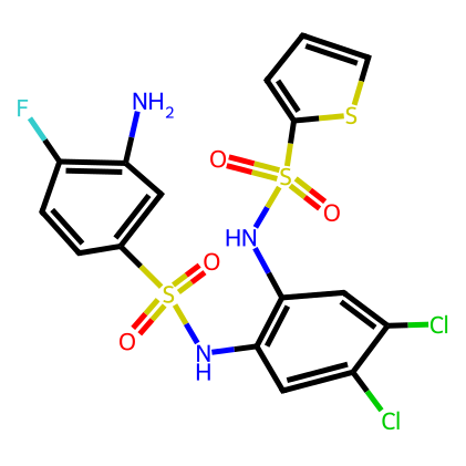 Nc1cc(S(=O)(=O)Nc2cc(Cl)c(Cl)cc2NS(=O)(=O)c2cccs2)ccc1F